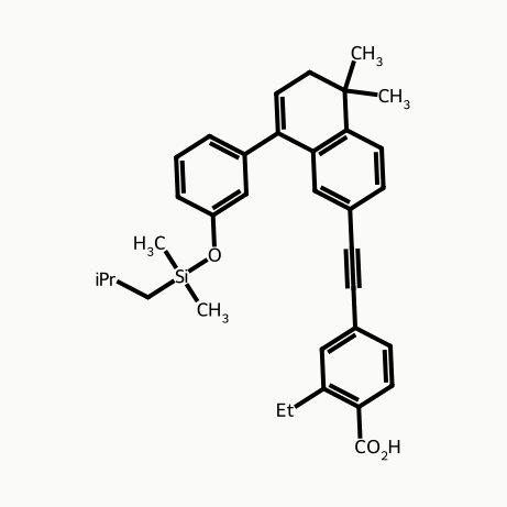 CCc1cc(C#Cc2ccc3c(c2)C(c2cccc(O[Si](C)(C)CC(C)C)c2)=CCC3(C)C)ccc1C(=O)O